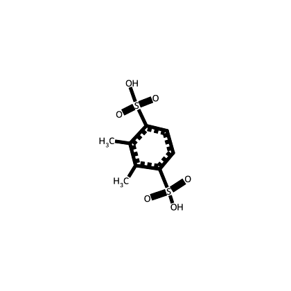 Cc1c(S(=O)(=O)O)ccc(S(=O)(=O)O)c1C